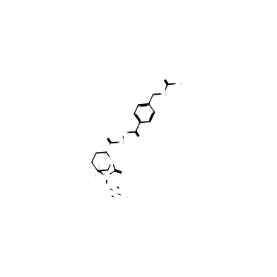 O=C(O)NCc1ccc(C(=O)NNC(=O)[C@@H]2CC[C@@H]3CN2C(=O)N3OS(=O)(=O)O)cc1